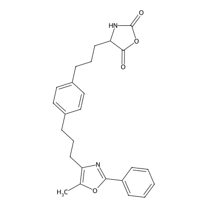 Cc1oc(-c2ccccc2)nc1CCCc1ccc(CCCC2NC(=O)OC2=O)cc1